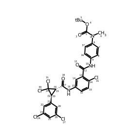 CN(C(=O)OC(C)(C)C)c1ccc(NC(=O)c2cc(NC(=O)[C@@H]3[C@@H](c4cc(Cl)cc(Cl)c4)C3(Cl)Cl)ccc2Cl)cc1